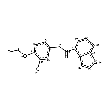 CCOc1ccc(CNc2cccc3sccc23)cc1Cl